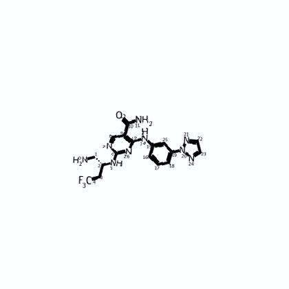 NC[C@@H](CC(F)(F)F)Nc1ncc(C(N)=O)c(Nc2cccc(-n3nccn3)c2)n1